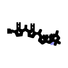 CC1=N/C(=C\c2ccc(C(C)c3ccc(C(C)c4ccc(Br)[nH]4)[nH]3)[nH]2)C(C)(C)C1